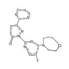 O=c1ccc(-c2ccccn2)nn1-c1ncc(F)c(N2CCOCC2)n1